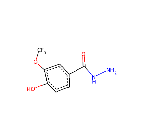 NNC(=O)c1ccc(O)c(OC(F)(F)F)c1